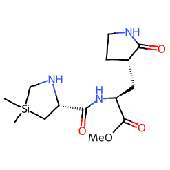 COC(=O)[C@H](C[C@@H]1CCNC1=O)NC(=O)[C@@H]1C[Si](C)(C)CN1